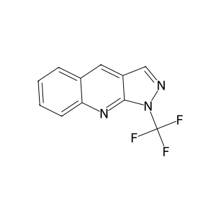 FC(F)(F)n1ncc2cc3ccccc3nc21